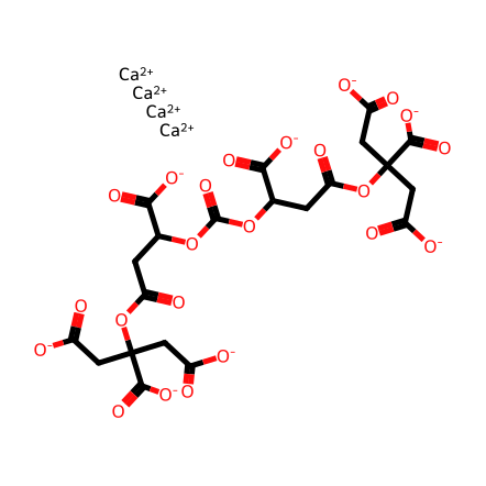 O=C([O-])CC(CC(=O)[O-])(OC(=O)CC(OC(=O)OC(CC(=O)OC(CC(=O)[O-])(CC(=O)[O-])C(=O)[O-])C(=O)[O-])C(=O)[O-])C(=O)[O-].[Ca+2].[Ca+2].[Ca+2].[Ca+2]